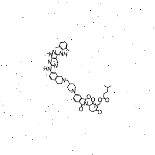 Cc1cccc(C)c1Nc1nn(C)c2nc(Nc3ccc4c(c3)CN(CC3CCN(c5ccc6c(c5)C(=O)N(C5CCC(=O)N(COC(=O)CCC(C)C)C5=O)C6=O)CC3)CC4)ncc12